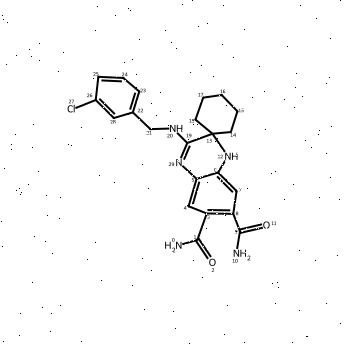 NC(=O)c1cc2c(cc1C(N)=O)NC1(CCCCC1)C(NCc1cccc(Cl)c1)=N2